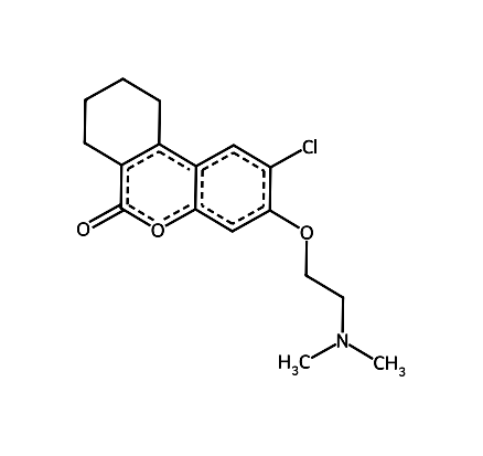 CN(C)CCOc1cc2oc(=O)c3c(c2cc1Cl)CCCC3